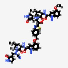 COc1cccc2[nH]c(C(=O)N[C@@H](CC(C)C)C(=O)N[C@@H](C[C@@H]3CCNC3=O)C(=O)c3nc4ccc(COc5cccc6[nH]c(C(=O)N[C@@H](CC(C)C)C(=O)NN(C#N)CC7CCNC7=O)cc56)cc4s3)cc12